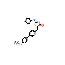 O=C1N=C(Nc2cc[c]cc2)SC1=Cc1ccc(-c2ccc(OC(F)(F)F)cc2)cc1